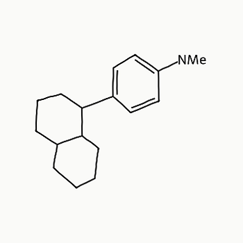 CNc1ccc(C2CCCC3CCCCC32)cc1